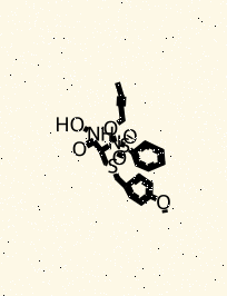 CC#CCON(C(CSCc1ccc(OC)cc1)C(=O)NO)S(=O)(=O)c1ccccc1